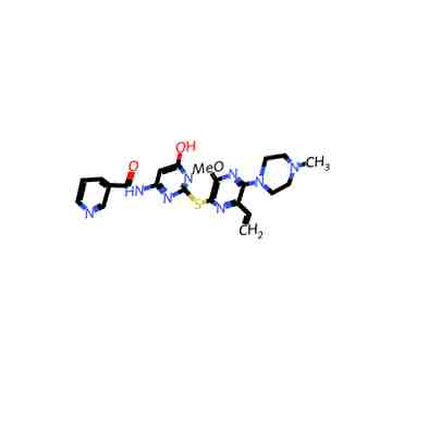 C=Cc1nc(Sc2nc(O)cc(NC(=O)c3cccnc3)n2)c(OC)nc1N1CCN(C)CC1